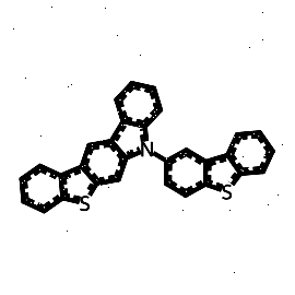 c1ccc2c(c1)sc1ccc(-n3c4ccccc4c4cc5c(cc43)sc3ccccc35)cc12